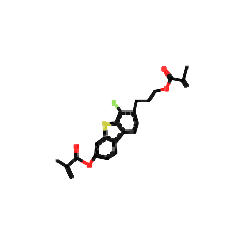 C=C(C)C(=O)OCCCc1ccc2c(sc3cc(OC(=O)C(=C)C)ccc32)c1F